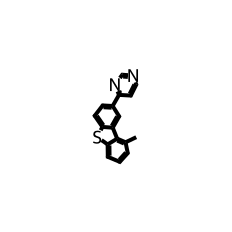 Cc1cccc2sc3ccc(-c4ccncn4)cc3c12